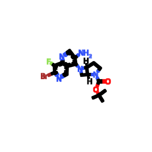 CC(C)(C)OC(=O)N1CC[C@@H]2[C@H]1CN2c1c(N)cnc2c(F)c(Br)ncc12